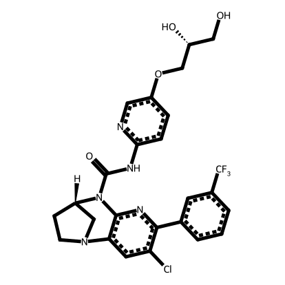 O=C(Nc1ccc(OC[C@H](O)CO)cn1)N1c2nc(-c3cccc(C(F)(F)F)c3)c(Cl)cc2N2CC[C@H]1C2